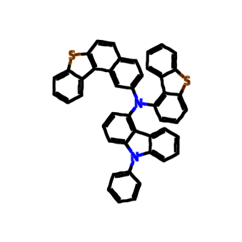 c1ccc(-n2c3ccccc3c3c(N(c4ccc5ccc6sc7ccccc7c6c5c4)c4cccc5sc6ccccc6c45)cccc32)cc1